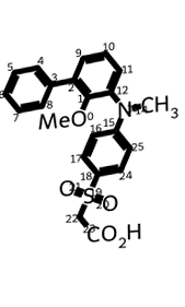 COc1c(-c2ccccc2)cccc1N(C)c1ccc(S(=O)(=O)CC(=O)O)cc1